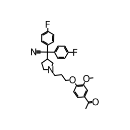 COc1cc(C(C)=O)ccc1OCCCN1CCC(C(C#N)(c2ccc(F)cc2)c2ccc(F)cc2)C1